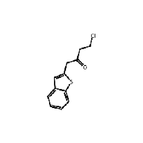 O=C(CCCl)Cc1cc2ccccc2s1